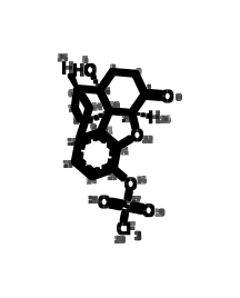 O=C1CC[C@]2(O)[C@H]3CCC[C@]24c2c(ccc(OS(=O)(=O)C(F)(F)F)c2O[C@H]14)C3